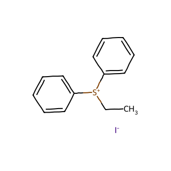 CC[S+](c1ccccc1)c1ccccc1.[I-]